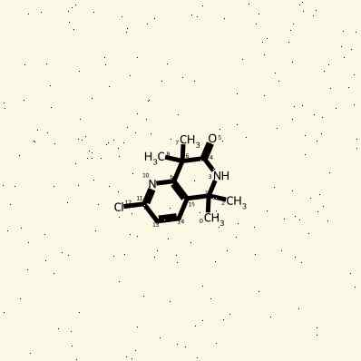 CC1(C)NC(=O)C(C)(C)c2nc(Cl)ccc21